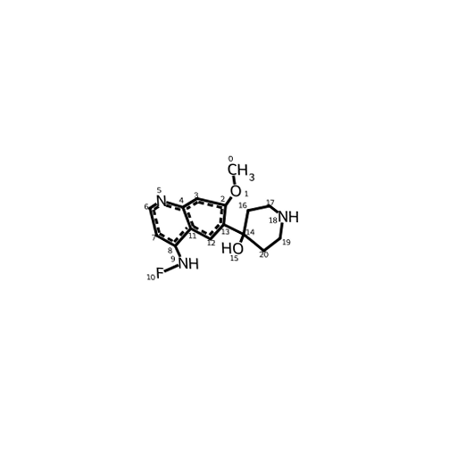 COc1cc2nccc(NF)c2cc1C1(O)CCNCC1